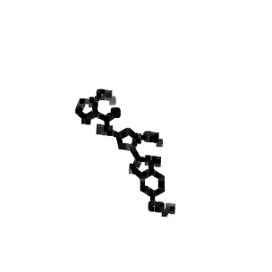 Cn1cc(NC(=O)c2nccn2C)cc1-c1nc2cc(C(=O)O)ccc2[nH]1